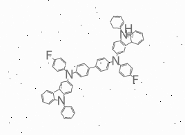 Fc1ccc(N(c2ccc(-c3ccc(N(c4ccc(F)cc4)c4ccc5c(c4)c4ccccc4n5-c4ccccc4)cc3)cc2)c2ccc3c(c2)C2C=CC=C[C@H]2N3C2=CC=CCC2)cc1